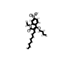 CCCCCCCCc1c(OCCCC)c2ccc([N+](=O)[O-])cc2n(CC)c1=O